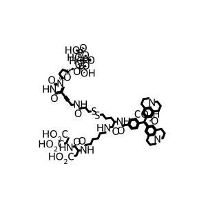 O=C(O)CC(NC(=O)C(CC(=O)O)NC(=O)CCCCCNC(=O)C(CCCSSCCC(=O)NCC#Cc1cn([C@H]2CC[C@@H](COP(=O)(O)OP(=O)(O)OP(=O)(O)O)O2)c(=O)[nH]c1=O)NC(=O)c1ccc(C2=c3cc4c5c(c3Oc3c2cc2c6c3CCCN6CCC2)CCC[N+]=5CCC4)c(C(=O)O)c1)C(=O)O